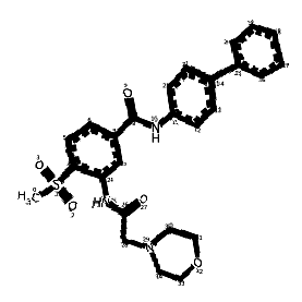 CS(=O)(=O)c1ccc(C(=O)Nc2ccc(-c3ccccc3)cc2)cc1NC(=O)CN1CCOCC1